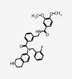 COc1ccc(C(=O)NCc2cccc(C(=O)N(Cc3ccccc3F)c3ccc4c(c3)CNCC4)c2)cc1OC